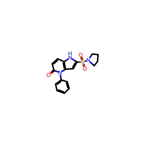 O=c1ccc2[nH]c(S(=O)(=O)N3CCCC3)cc2n1-c1ccccc1